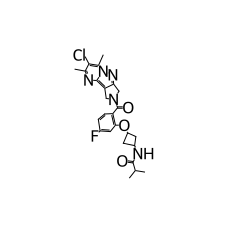 Cc1nc2c3c(nn2c(C)c1Cl)CN(C(=O)c1ccc(F)cc1O[C@H]1C[C@H](NC(=O)C(C)C)C1)C3